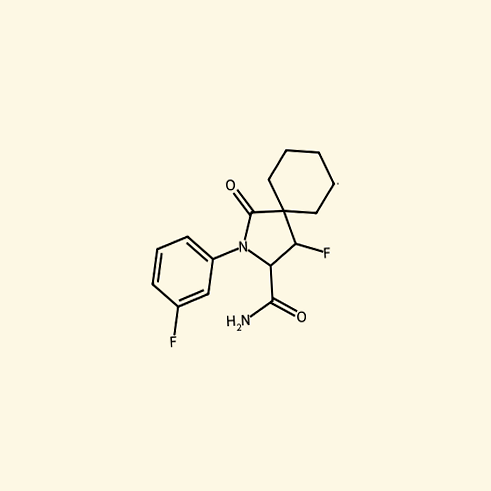 NC(=O)C1C(F)C2(C[CH]CCC2)C(=O)N1c1cccc(F)c1